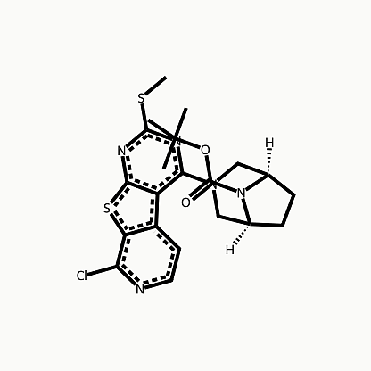 CSc1nc(N2C[C@H]3CC[C@@H](C2)N3C(=O)OC(C)(C)C)c2c(n1)sc1c(Cl)nccc12